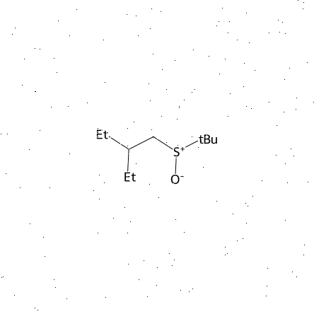 CCC(CC)C[S+]([O-])C(C)(C)C